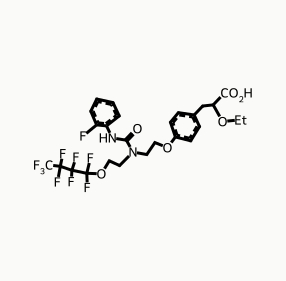 CCOC(Cc1ccc(OCCN(CCOC(F)(F)C(F)(F)C(F)(F)C(F)(F)F)C(=O)Nc2ccccc2F)cc1)C(=O)O